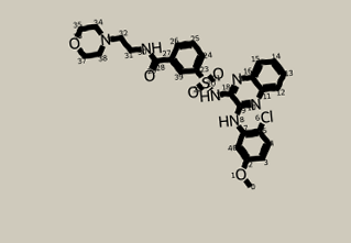 COc1ccc(Cl)c(Nc2nc3ccccc3nc2NS(=O)(=O)c2cccc(C(=O)NCCN3CCOCC3)c2)c1